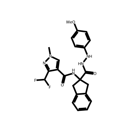 COc1ccc(NNC(=O)C2(NC(=O)c3cn(C)nc3C(F)F)Cc3ccccc3C2)cc1